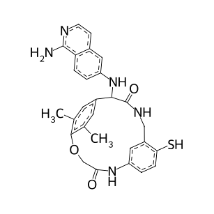 Cc1cc2cc(C)c1OCC(=O)Nc1ccc(S)c(c1)CNC(=O)C2Nc1ccc2c(N)nccc2c1